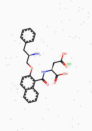 Cl.N[C@@H](COc1ccc2ccccc2c1C(=O)N[C@@H](CC(=O)O)C(=O)O)Cc1ccccc1